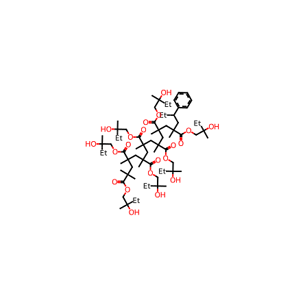 CCC(CC(C)(CC(C)(CC(C)(CC(C)(CC(C)(CC(C)(CC(C)(C)C(=O)OCC(C)(O)CC)C(=O)OCC(C)(O)CC)C(=O)OCC(C)(O)CC)C(=O)OCC(C)(O)CC)C(=O)OCC(C)(O)CC)C(=O)OCC(C)(O)CC)C(=O)OCC(C)(O)CC)c1ccccc1